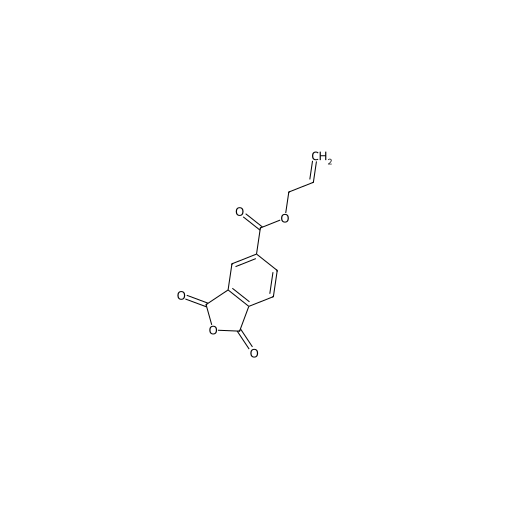 C=CCOC(=O)c1ccc2c(c1)C(=O)OC2=O